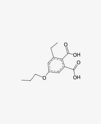 CCCOc1cc(CC)c(C(=O)O)c(C(=O)O)c1